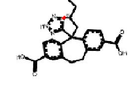 CC[C@H](C)CC1(c2nn[nH]n2)c2ccc(C(=O)O)cc2CCc2cc(C(=O)O)ccc21